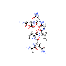 CC[C@H](C)[C@H](NC(=O)[C@H](CCC(N)=O)NC(=O)[C@H](C)N)C(=O)N[C@H](C(=O)N[C@@H](C)C(=O)N[C@@H](CC(N)=O)C(=O)N[C@@H](CC(N)=O)C(=O)O)[C@@H](C)CC